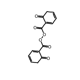 O=C1CC=CC=C1C(=O)OOC(=O)C1=CC=CCC1=O